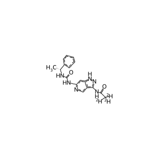 [2H]C([2H])([2H])C(=O)Nc1n[nH]c2cc(NC(=O)N[C@H](C)c3ccccc3)ncc12